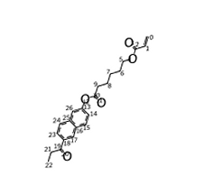 C=CC(=O)OCCCCCC(=O)Oc1ccc2cc(C(=O)CC)ccc2c1